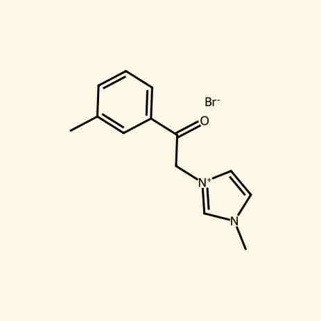 Cc1cccc(C(=O)C[n+]2ccn(C)c2)c1.[Br-]